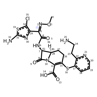 CO/N=C(\C(=O)N[C@@H]1C(=O)N2C(C(=O)O)=C(Sc3cccnc3CCN)CC[C@H]12)c1nc(N)sc1Cl